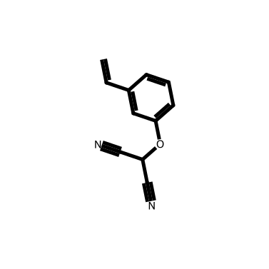 C=Cc1cccc(OC(C#N)C#N)c1